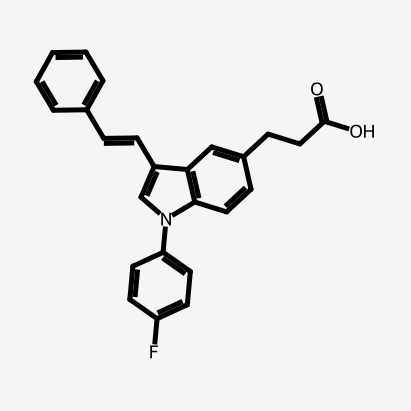 O=C(O)CCc1ccc2c(c1)c(C=Cc1ccccc1)cn2-c1ccc(F)cc1